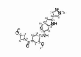 COc1cc(C(=O)N2CC(OC)C2)ccc1Nc1cc2[nH]c(-c3cnn(C)c3)cc2cn1